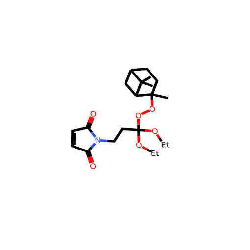 CCOC(CCN1C(=O)C=CC1=O)(OCC)OOC1(C)CCC2CC1C2(C)C